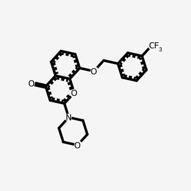 O=c1cc(N2CCOCC2)oc2c(OCc3cccc(C(F)(F)F)c3)cccc12